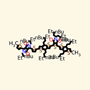 CCCCC(CC)CCc1c2cc(-c3sc(-c4cc5c(CCC(CC)CCCC)c6sc(-c7ccc(C8=C9C(=O)N(CC(CC)CCCC)C(c%10ccc(C)s%10)=C9C(=O)N8CC(CC)CCCC)s7)cc6c(CCC(CC)CCCC)c5s4)c4c3C(=O)N(C(CC(CC)CCCC)CC(CC)CCCC)C4=O)sc2c(CCC(CC)CCCC)c2cc(C)sc12